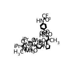 CCC(C)[C@@H]([C@@H](CC(=O)N1CCC[C@H]1[C@H](OC)[C@@H](C)C(=O)NS(=O)(=O)c1ccc(NC(=O)C(F)(F)F)cc1)OC)N(C)C(=O)[C@@H](NC(=O)[C@H](C(C)C)N(C)C)C(C)C